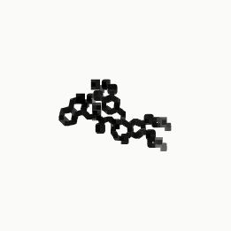 COc1ccc(CC2c3cc(OC)c(OC)cc3SCCN2CC(=O)NCc2cccc3ccccc23)cc1OC